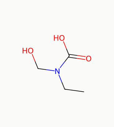 CCN(CO)C(=O)O